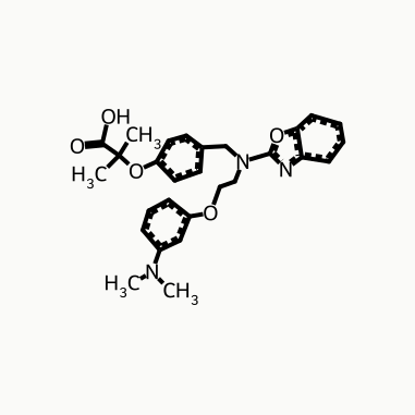 CN(C)c1cccc(OCCN(Cc2ccc(OC(C)(C)C(=O)O)cc2)c2nc3ccccc3o2)c1